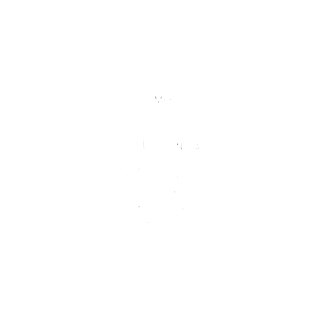 COCCN(C(C)=O)C1=C(Cl)C(=O)c2ccccc2C1=O